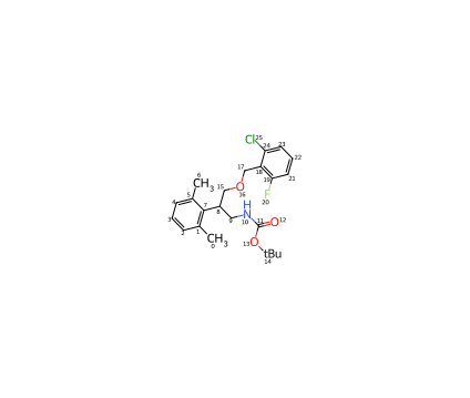 Cc1cccc(C)c1C(CNC(=O)OC(C)(C)C)COCc1c(F)cccc1Cl